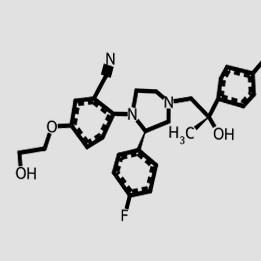 C[C@@](O)(CN1CCN(c2ccc(OCCO)cc2C#N)[C@H](c2ccc(F)cc2)C1)c1ccc(F)cc1